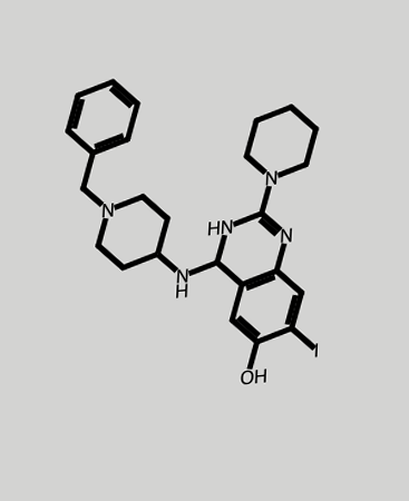 Oc1cc2c(cc1I)N=C(N1CCCCC1)NC2NC1CCN(Cc2ccccc2)CC1